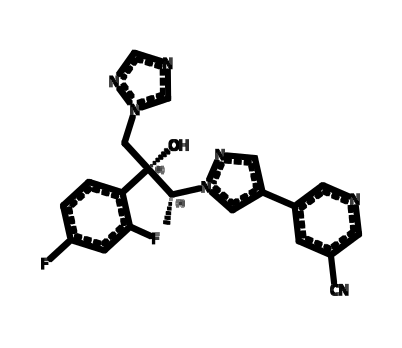 C[C@@H](n1cc(-c2cncc(C#N)c2)cn1)[C@](O)(Cn1cncn1)c1ccc(F)cc1F